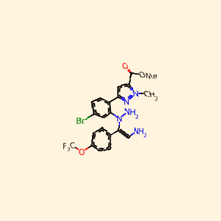 COC(=O)c1cc(-c2ccc(Br)cc2N(N)/C(=C\N)c2ccc(OC(F)(F)F)cc2)nn1C